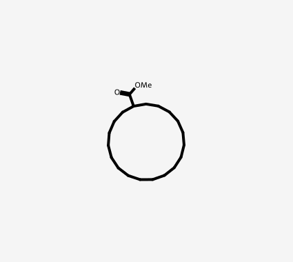 COC(=O)C1CCCCCCCCCCCCCCCCCC1